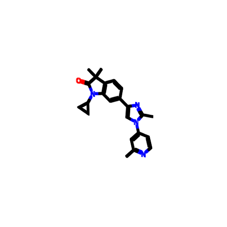 Cc1cc(-n2cc(-c3ccc4c(c3)N(C3CC3)C(=O)C4(C)C)nc2C)ccn1